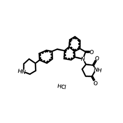 Cl.O=C1CCC(N2C(=O)c3cccc4c(Cc5ccc(C6CCNCC6)cc5)ccc2c34)C(=O)N1